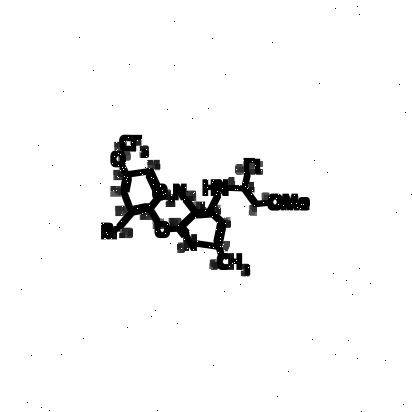 CCC(COC)Nc1cc(C)nc(Oc2ccc(OC(F)(F)F)cc2Br)c1[N+](=O)[O-]